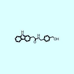 O=C(Cc1ccc2c(c1)[nH]c1ccccc12)NCc1ccc(CO)cc1